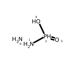 N.N[PH](=O)O